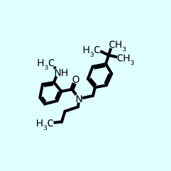 CCCCN(Cc1ccc(C(C)(C)C)cc1)C(=O)c1ccccc1NC